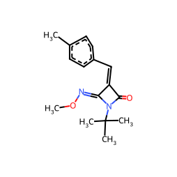 CON=C1C(=Cc2ccc(C)cc2)C(=O)N1C(C)(C)C